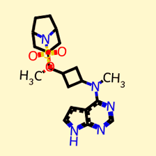 COC1CC2CCC(C1)N2S(=O)(=O)CC1CC(N(C)c2ncnc3[nH]ccc23)C1